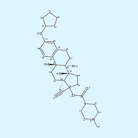 C#CC1(OC(=O)C2CCN(C)CC2)CC[C@H]2[C@@H]3CCc4cc(OC5CCCC5)ccc4[C@H]3CC[C@@]21C